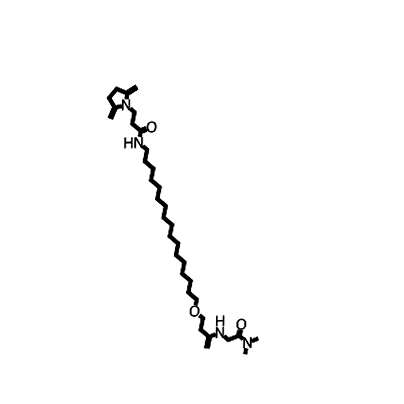 C=C(CCOCCCCCCCCCCCCCCCCCNC(=O)CCN1C(=C)CCC1=C)NCC(=O)N(C)C